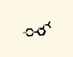 CC(C)Oc1cccc(N2CCNCC2)n1